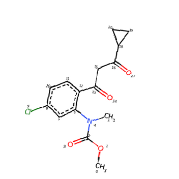 COC(=O)N(C)c1cc(Cl)ccc1C(=O)CC(=O)C1CC1